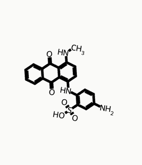 CNc1ccc(Nc2ccc(N)cc2S(=O)(=O)O)c2c1C(=O)c1ccccc1C2=O